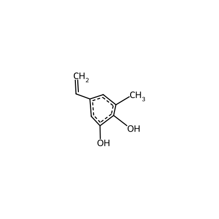 C=Cc1cc(C)c(O)c(O)c1